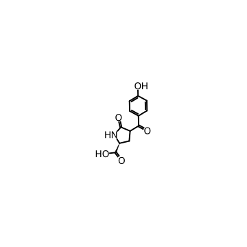 O=C1N[C@H](C(=O)O)CC1C(=O)c1ccc(O)cc1